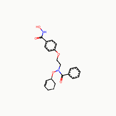 O=C(NO)c1ccc(OCCN(OC2C=CCCC2)C(=O)c2ccccc2)cc1